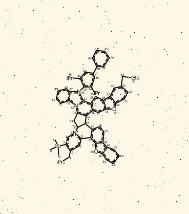 CC(C)Cc1cc2[n+](cc1[Si](C)(C)C)C1Cc3c(c4cc5oc6ccc(CC(C)(C)C)cc6c5cc4c4n(-c5c(C(C)C)cc(-c6ccccc6)cc5C(C)C)c5ccccc5[n+]34)C1c1ccc3c(oc4ccccc43)c1-2